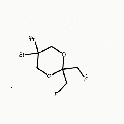 CCC1(C(C)C)COC(CF)(CF)OC1